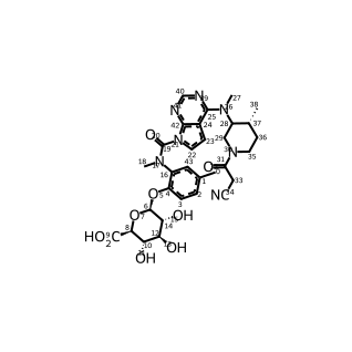 Cc1ccc(O[C@@H]2O[C@H](C(=O)O)[C@@H](O)[C@H](O)[C@H]2O)c(N(C)C(=O)n2ccc3c(N(C)C4CN(C(=O)CC#N)CC[C@H]4C)ncnc32)c1